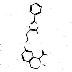 Cc1oc(-c2ccccc2)nc1CCOc1ccc2c(c1)C(C(=O)O)N(C)CC2